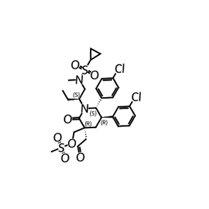 CC[C@@H](CN(C)S(=O)(=O)C1CC1)N1C(=O)[C@](CC=O)(COS(C)(=O)=O)C[C@H](c2cccc(Cl)c2)[C@H]1c1ccc(Cl)cc1